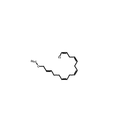 CC/C=C\C/C=C\C/C=C\C/C=C\CC/C=C/COSC